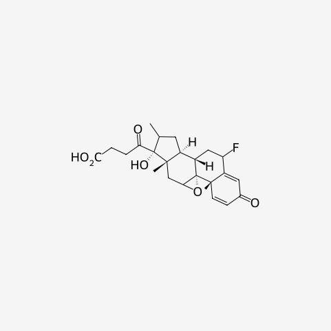 CC1C[C@H]2[C@@H]3CC(F)C4=CC(=O)C=C[C@]4(C)[C@]34OC4C[C@]2(C)[C@@]1(O)C(=O)CCC(=O)O